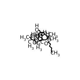 CCCCCC(=O)O[C@@]12CC(C)C34C=C(C)[C@H](OC(=O)C(C)=C(C)C)[C@@]3(O)[C@H](O)C(CO)=C[C@H](C4=O)[C@@H]1C2(C)C